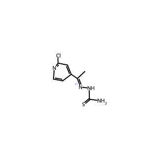 C/C(=N\NC(N)=S)c1ccnc(Cl)c1